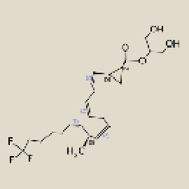 C[C@H](/C=C\C/C=C\C/C=C\[C@@H]1C[C@@H]1C(=O)OC(CO)CO)/C=C\CCCCC(F)(F)F